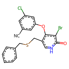 N#Cc1cc(Cl)cc(Oc2c(CSCc3ccccc3)c[nH]c(=O)c2Br)c1